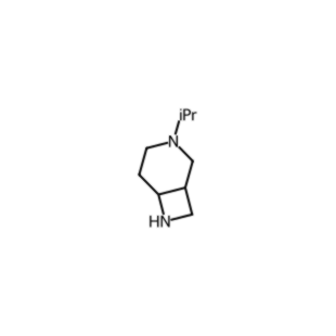 CC(C)N1CCC2NCC2C1